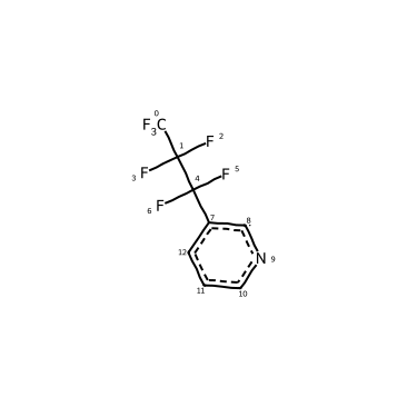 FC(F)(F)C(F)(F)C(F)(F)c1[c]nccc1